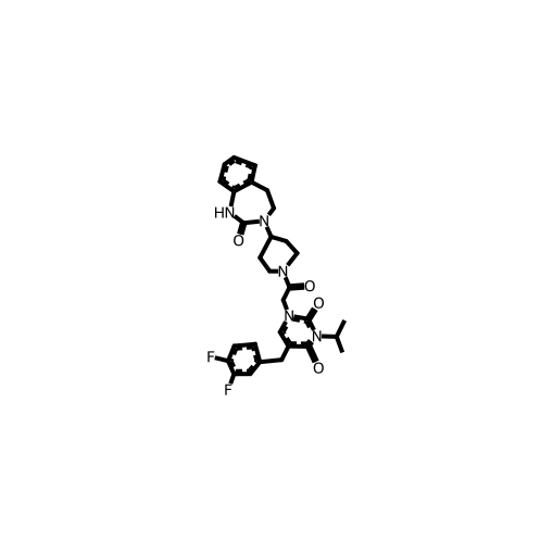 CC(C)n1c(=O)c(Cc2ccc(F)c(F)c2)cn(CC(=O)N2CCC(N3CCc4ccccc4NC3=O)CC2)c1=O